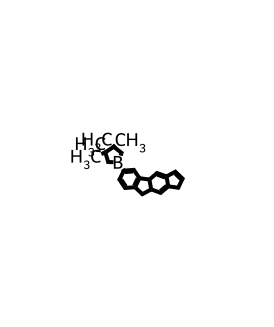 CC1(C)CB(c2ccc3c(c2)C2C=C4C=CCC4=CC2C3)CC1(C)C